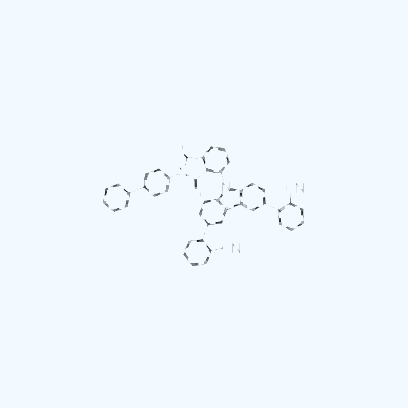 N#Cc1ccccc1-c1ccc2c(c1)c1cc(-c3ccccc3C#N)ccc1n2-c1cccc2c1C(=O)N(c1ccc(-c3ccccc3)cc1)C2=O